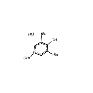 CC(C)(C)c1cc(C=O)cc(C(C)(C)C)c1O.Cl